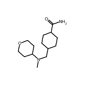 CN(CC1CCC(C(N)=O)CC1)C1CCOCC1